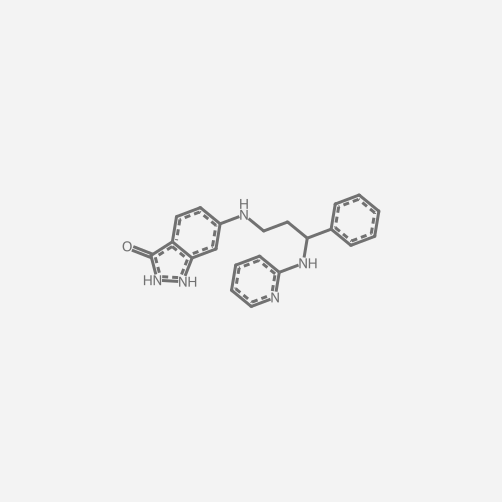 O=c1[nH][nH]c2cc(NCCC(Nc3ccccn3)c3ccccc3)ccc12